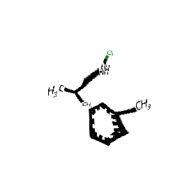 CC(C)[CH2][AlH][Cl].Cc1cc[c]cc1